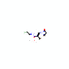 CC(=O)NC1S[C@H]2CC(=O)N2C(C(=O)O)=C1C(=O)NCCCl